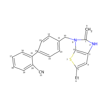 C=C1Nc2cc(CC)sc2N1Cc1ccc(-c2ccccc2C#N)cc1